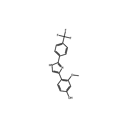 COc1cc(O)ccc1-c1c[nH]c(-c2ccc(C(F)(F)F)cc2)n1